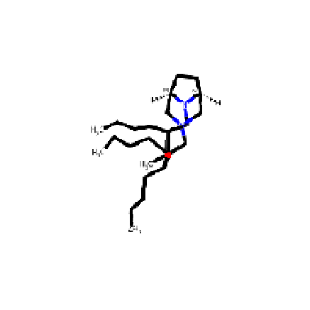 CCCCCC(CCCC)CN1C[C@H]2CC[C@@H](C1)N2CC(CC)CCCC